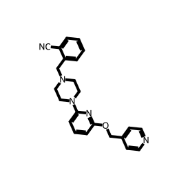 N#Cc1ccccc1CN1CCN(c2cccc(OCc3ccncc3)n2)CC1